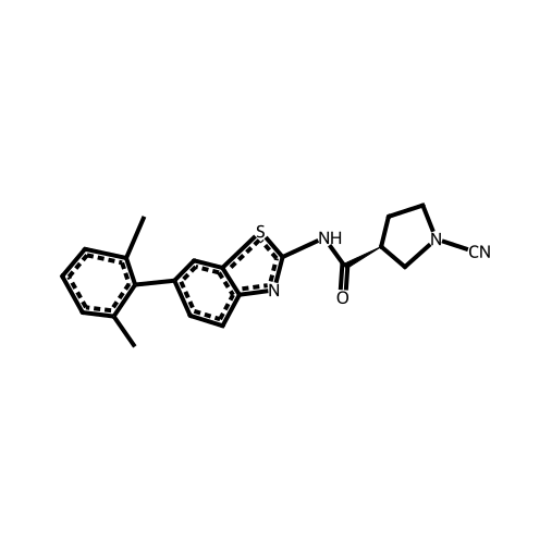 Cc1cccc(C)c1-c1ccc2nc(NC(=O)[C@H]3CCN(C#N)C3)sc2c1